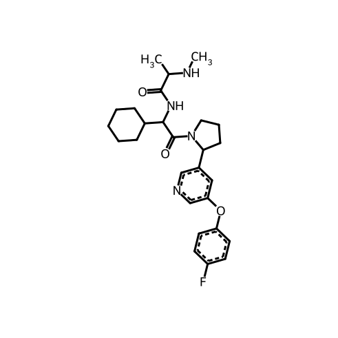 CNC(C)C(=O)NC(C(=O)N1CCCC1c1cncc(Oc2ccc(F)cc2)c1)C1CCCCC1